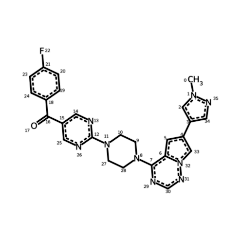 Cn1cc(-c2cc3c(N4CCN(c5ncc(C(=O)c6ccc(F)cc6)cn5)CC4)ncnn3c2)cn1